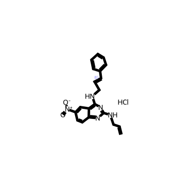 C=CCNc1nc(NC/C=C/c2ccccc2)c2cc([N+](=O)[O-])ccc2n1.Cl